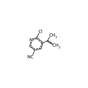 C=C(C)c1cc(C#N)cnc1Cl